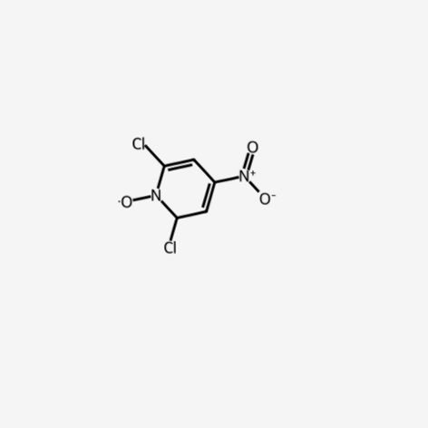 [O]N1C(Cl)=CC([N+](=O)[O-])=CC1Cl